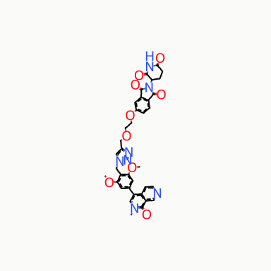 COc1cc(-c2cn(C)c(=O)c3cnccc23)cc(OC)c1Cn1cc(COCCOc2ccc3c(c2)C(=O)N(C2CCC(=O)NC2=O)C3=O)nn1